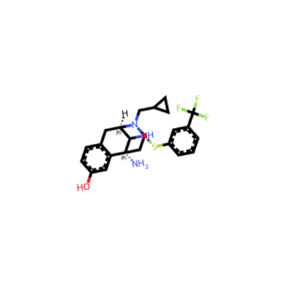 N[C@]12CCN(CC3CC3)[C@H](Cc3ccc(O)cc31)C2NSc1cccc(C(F)(F)F)c1